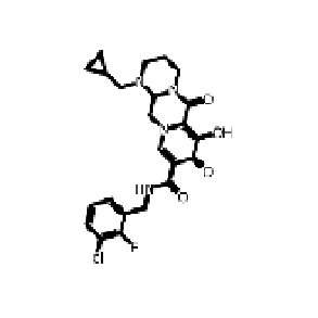 O=C(NCc1cccc(Cl)c1F)c1cn2c(c(O)c1=O)C(=O)N1CCCN(CC3CC3)C1C2